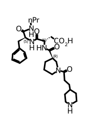 CCCNC(=O)[C@H](Cc1ccccc1)NC(=O)[C@H](CC(=O)O)NC(=O)[C@@H]1CCCN(C(=O)CCC2CCNCC2)C1